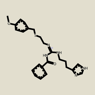 COc1ccc(CSCC/N=C(/NCCCc2c[nH]cn2)NC(=O)c2ccccc2)cc1